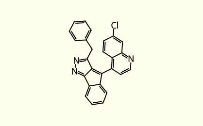 Clc1ccc2c(C3=C4C(Cc5ccccc5)=NN=C4c4ccccc43)ccnc2c1